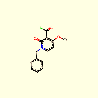 CCOc1ccn(Cc2ccccc2)c(=O)c1C(=O)Cl